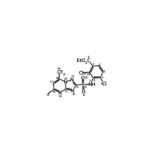 CCOC(=O)c1ccc(Cl)c(NS(=O)(=O)c2nc3nc(C)cc(C(F)(F)F)n3n2)c1Cl